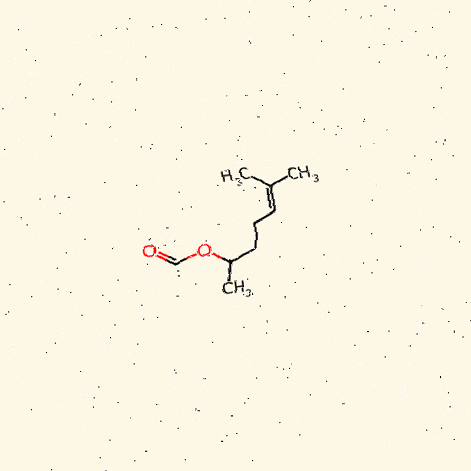 CC(C)=CCCC(C)OC=O